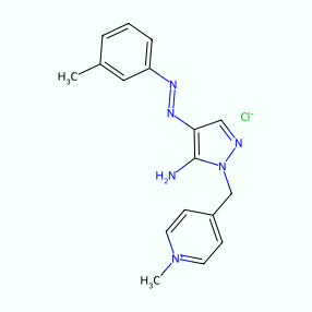 Cc1cccc(N=Nc2cnn(Cc3cc[n+](C)cc3)c2N)c1.[Cl-]